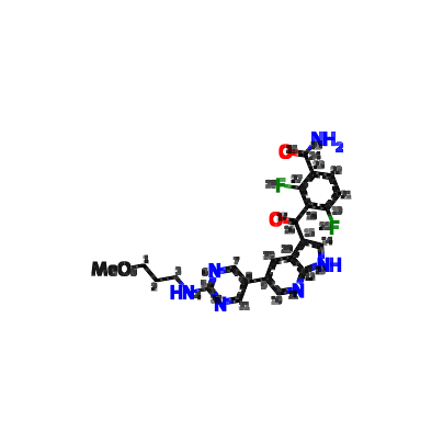 COCCCNc1ncc(-c2cnc3[nH]cc(C(=O)c4c(F)ccc(C(N)=O)c4F)c3c2)cn1